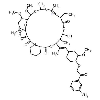 CCC1/C=C(\C)CC(C)CC(OC)C2OC(O)(C(=O)C(=O)N3CCCCC3C(=O)OC(C(C)=CC3CCC(OCC(=O)c4cccc(C)c4)C(OC)C3)C(C)C(O)CC1=O)C(C)CC2OC